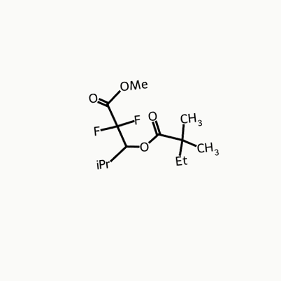 CCC(C)(C)C(=O)OC(C(C)C)C(F)(F)C(=O)OC